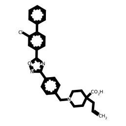 C=CCC1(C(=O)O)CCN(Cc2ccc(-c3noc(-c4ccc(-c5ccccc5)c(Cl)c4)n3)cc2)CC1